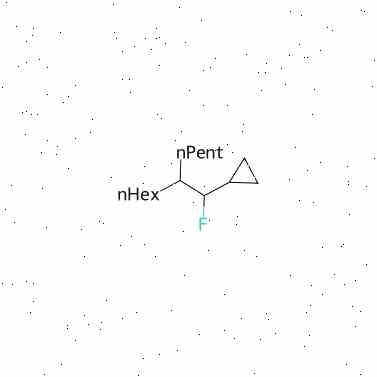 CCCCCCC(CCCCC)C(F)C1CC1